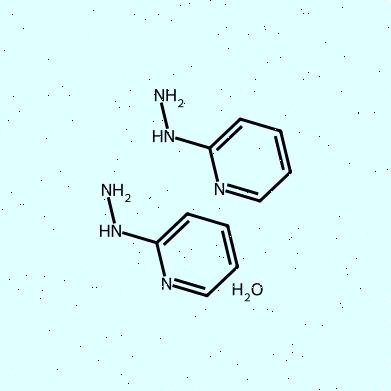 NNc1ccccn1.NNc1ccccn1.O